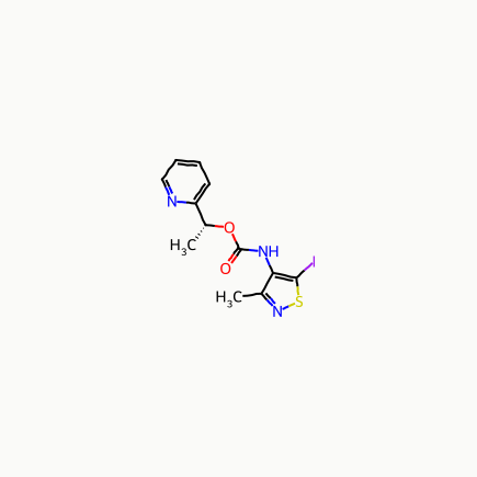 Cc1nsc(I)c1NC(=O)O[C@H](C)c1ccccn1